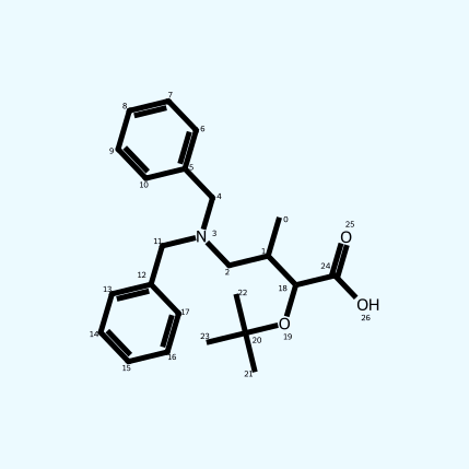 CC(CN(Cc1ccccc1)Cc1ccccc1)C(OC(C)(C)C)C(=O)O